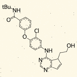 CC(C)(C)NC(=O)c1cccc(Oc2ccc(Nc3ncnc4c3C(CCO)C=C4)cc2Cl)c1